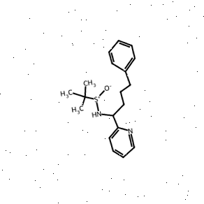 CC(C)(C)[S+]([O-])NC(CCCc1ccccc1)c1ccccn1